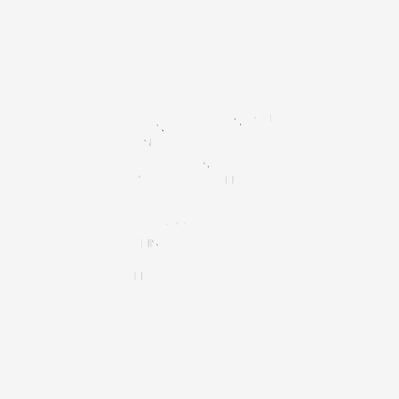 CCNC(=O)c1cccc(-c2[nH]ncc2CN(C)CCNC)c1